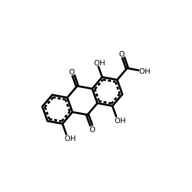 O=C(O)c1cc(O)c2c(c1O)C(=O)c1cccc(O)c1C2=O